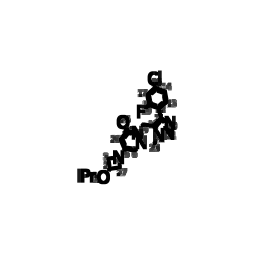 CC(C)OC1CN(c2cnn(Cc3c(-c4ccc(Cl)cc4F)nnn3C)c(=O)c2)C1